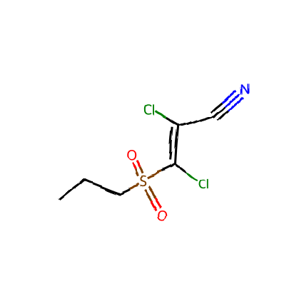 CCCS(=O)(=O)C(Cl)=C(Cl)C#N